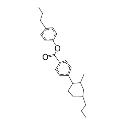 CCCc1ccc(OC(=O)c2ccc(C3CCC(CCC)CC3C)cc2)cc1